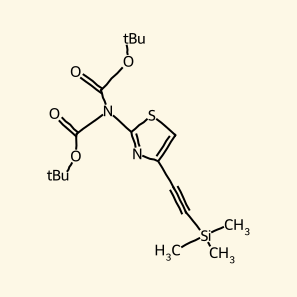 CC(C)(C)OC(=O)N(C(=O)OC(C)(C)C)c1nc(C#C[Si](C)(C)C)cs1